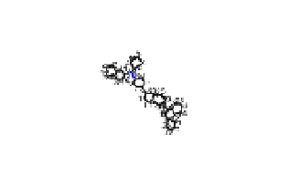 c1ccc(N(c2ccc(-c3ccc4cc(-c5cc6ccccc6c6ccccc56)ccc4c3)cc2)c2ccc3ccccc3c2)cc1